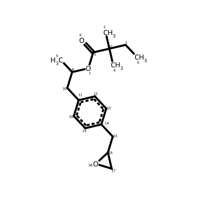 CCC(C)(C)C(=O)OC(C)Cc1ccc(CC2CO2)cc1